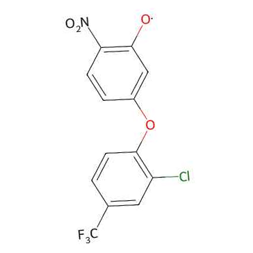 [O]c1cc(Oc2ccc(C(F)(F)F)cc2Cl)ccc1[N+](=O)[O-]